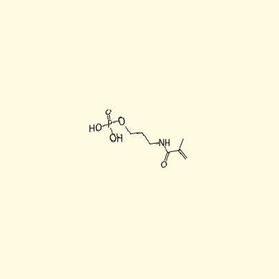 C=C(C)C(=O)NCCCOP(=O)(O)O